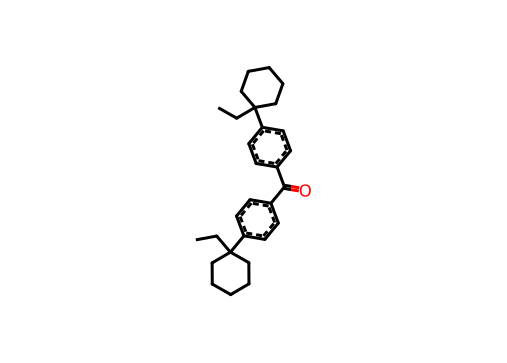 CCC1(c2ccc(C(=O)c3ccc(C4(CC)CCCCC4)cc3)cc2)CCCCC1